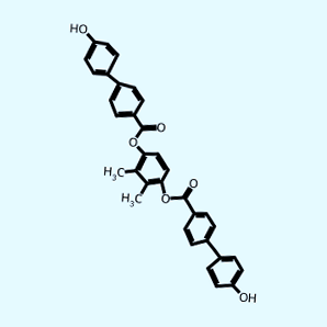 Cc1c(OC(=O)c2ccc(-c3ccc(O)cc3)cc2)ccc(OC(=O)c2ccc(-c3ccc(O)cc3)cc2)c1C